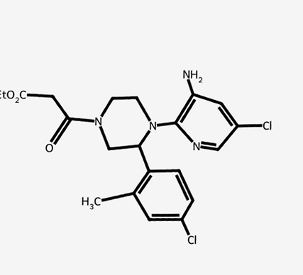 CCOC(=O)CC(=O)N1CCN(c2ncc(Cl)cc2N)C(c2ccc(Cl)cc2C)C1